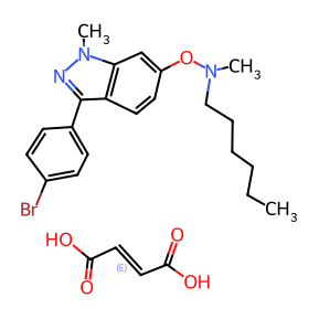 CCCCCCN(C)Oc1ccc2c(-c3ccc(Br)cc3)nn(C)c2c1.O=C(O)/C=C/C(=O)O